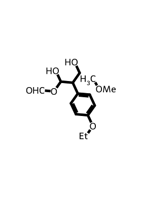 CCOc1ccc(C(CO)C(O)OC=O)cc1.COC